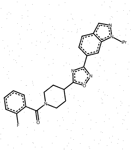 CC(C)n1ncc2ccc(-c3noc(C4CCN(C(=O)c5ccccc5F)CC4)n3)cc21